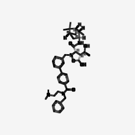 C[C@@H]1[C@@H](NC(=O)[C@@H]2[C@H]([C@H](C)O)C(O)ON2Cc2cccc(-c3ccc(C(=O)N(CCN(C)C)Cc4ccccc4)cc3)c2)C[C@H]2C[C@@H]1C2(C)C